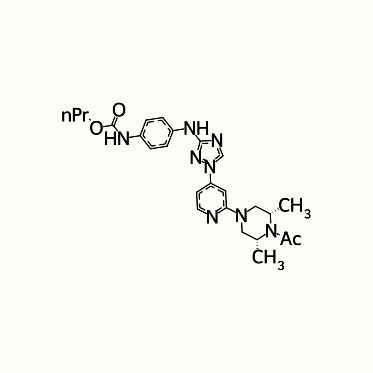 CCCOC(=O)Nc1ccc(Nc2ncn(-c3ccnc(N4C[C@@H](C)N(C(C)=O)[C@@H](C)C4)c3)n2)cc1